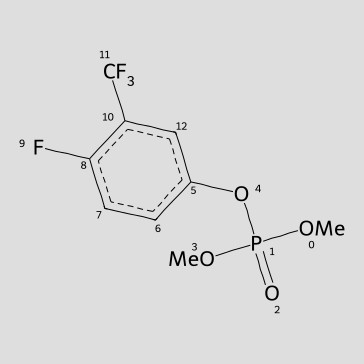 COP(=O)(OC)Oc1ccc(F)c(C(F)(F)F)c1